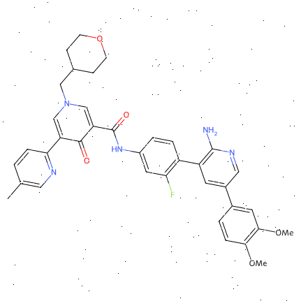 COc1ccc(-c2cnc(N)c(-c3ccc(NC(=O)c4cn(CC5CCOCC5)cc(-c5ccc(C)cn5)c4=O)cc3F)c2)cc1OC